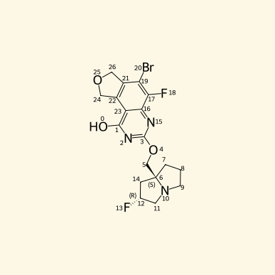 Oc1nc(OC[C@@]23CCCN2C[C@H](F)C3)nc2c(F)c(Br)c3c(c12)COC3